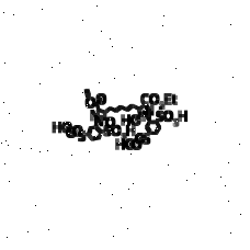 C#COC(=O)C1=NN(c2cc(SOOO)ccc2S(=O)(=O)O)C(=O)C1CC=CC=Cc1c(C(=O)OCC)nn(-c2cc(SOOO)ccc2S(=O)(=O)O)c1O